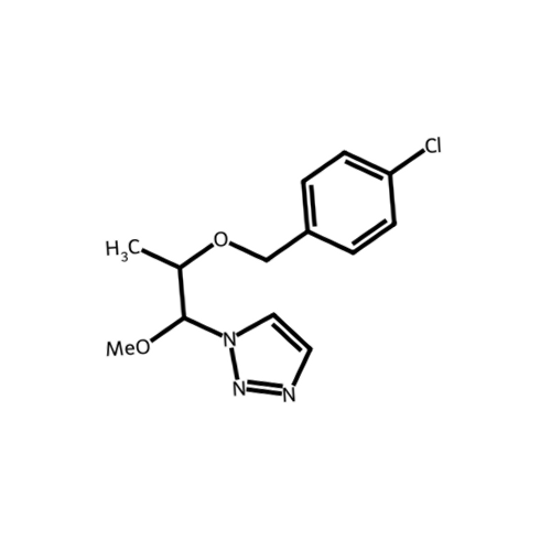 COC(C(C)OCc1ccc(Cl)cc1)n1ccnn1